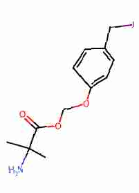 CC(C)(N)C(=O)OCOc1ccc(CI)cc1